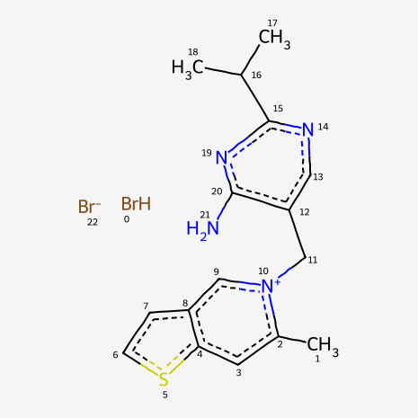 Br.Cc1cc2sccc2c[n+]1Cc1cnc(C(C)C)nc1N.[Br-]